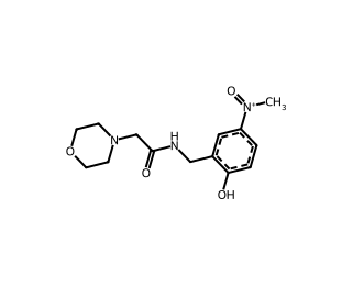 C[N+](=O)c1ccc(O)c(CNC(=O)CN2CCOCC2)c1